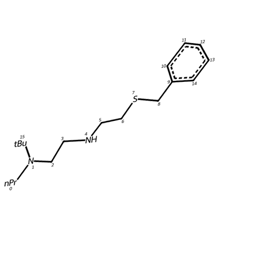 CCCN(CCNCCSCc1ccccc1)C(C)(C)C